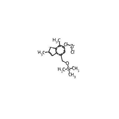 CC1=Cc2c(CO[Si](C)(C)C)ccc(C)c2[CH]1.[Cl][Zr][Cl]